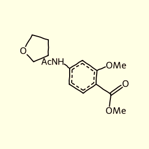 C1CCOC1.COC(=O)c1ccc(NC(C)=O)cc1OC